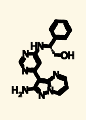 Nc1nn2cccnc2c1-c1cc(N[C@@H](CO)c2ccccc2)ncn1